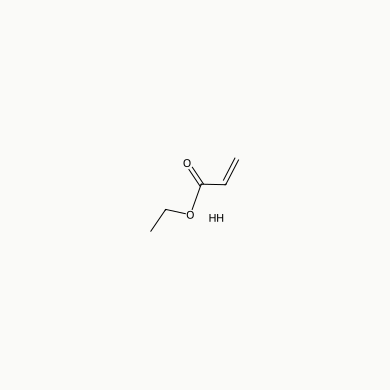 C=CC(=O)OCC.[HH]